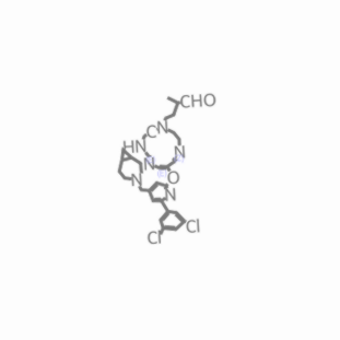 CC(C=O)CCN1CC\N=C/C(Oc2cc(CN3CCC4CC4CC3)cc(-c3cc(Cl)cc(Cl)c3)n2)=C\N=C\NCC1